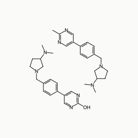 CN(C)C1CCN(Cc2ccc(-c3cnc(O)nc3)cc2)C1.Cc1ncc(-c2ccc(CN3CCC(N(C)C)C3)cc2)cn1